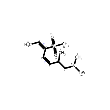 C/C=C(\C=C/C(C)CN(C)CCC)S(C)(=O)=O